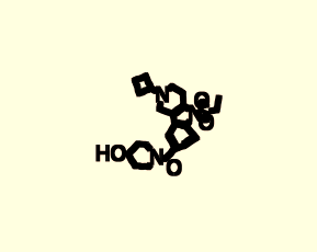 CCS(=O)(=O)n1c2c(c3cc(C(=O)N4CCC(O)CC4)ccc31)CN(C1CCC1)CC2